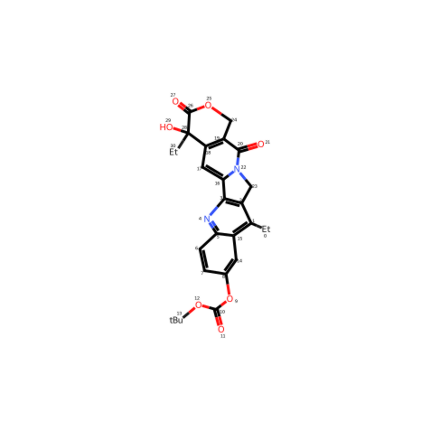 CCc1c2c(nc3ccc(OC(=O)OC(C)(C)C)cc13)-c1cc3c(c(=O)n1C2)COC(=O)C3(O)CC